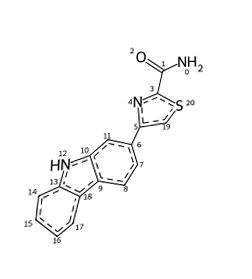 NC(=O)c1nc(-c2ccc3c(c2)[nH]c2ccccc23)cs1